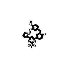 COc1ccc(Cn2cc(-c3cc(-c4ccc[nH]4)nc(S(C)(=O)=O)n3)ccc2=O)cc1OC